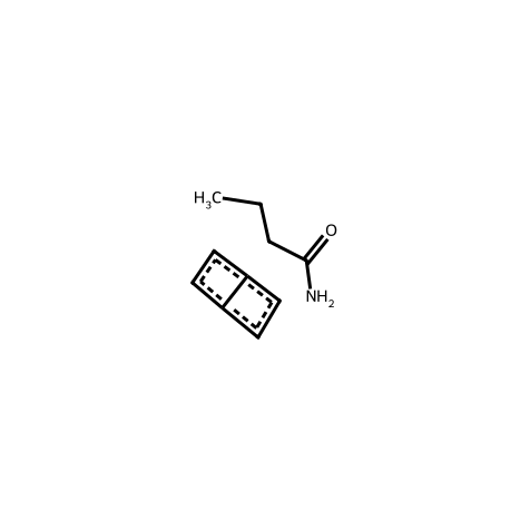 CCCC(N)=O.c1cc2ccc1-2